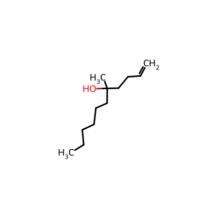 C=CCCC(C)(O)CCCCCC